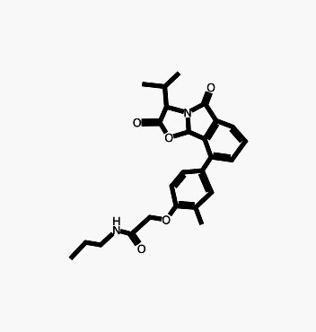 CCCNC(=O)COc1ccc(-c2cccc3c2C2OC(=O)C(C(C)C)N2C3=O)cc1C